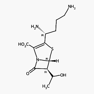 CC(O)[C@H]1C(=O)N2C(C(=O)O)=C([C@H](N)CCCN)S[C@H]12